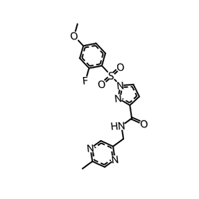 COc1ccc(S(=O)(=O)n2ccc(C(=O)NCc3cnc(C)cn3)n2)c(F)c1